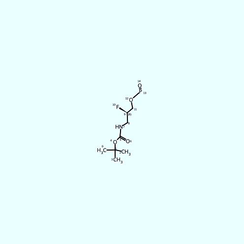 CC(C)(C)OC(=O)NC[C@@H](F)COP=O